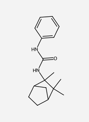 CC1(C)C2CCC(C2)C1(C)NC(=O)Nc1ccccc1